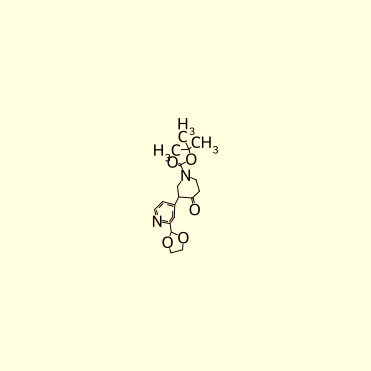 CC(C)(C)OC(=O)N1CCC(=O)C(c2ccnc(C3OCCO3)c2)C1